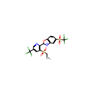 CCS(=O)(=O)c1cc(C(F)(F)F)cnc1C1Nc2cc(S(=O)(=O)C(F)(F)F)ccc2O1